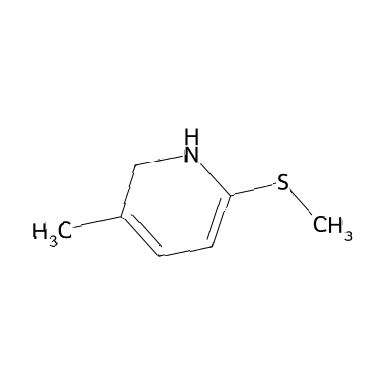 CSC1=CC=C(C)CN1